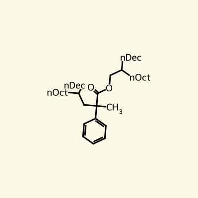 CCCCCCCCCCC(CCCCCCCC)COC(=O)C(C)(CC(CCCCCCCC)CCCCCCCCCC)c1ccccc1